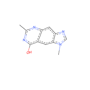 Cc1nc(O)c2cc3c(cc2n1)ncn3C